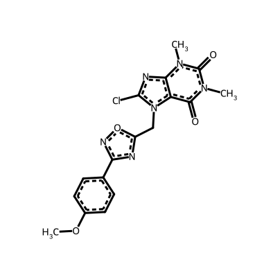 COc1ccc(-c2noc(Cn3c(Cl)nc4c3c(=O)n(C)c(=O)n4C)n2)cc1